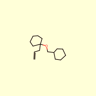 C=CCC1(OCC2CCCCC2)CCCCC1